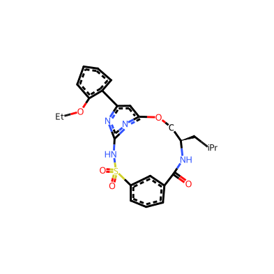 CCOc1ccccc1-c1cc2nc(n1)NS(=O)(=O)c1cccc(c1)C(=O)N[C@H](CC(C)C)CO2